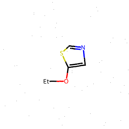 CCOc1cncs1